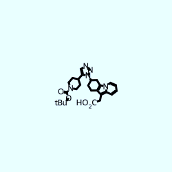 CC(C)(C)OC(=O)N1CCC(c2cnnn2C2CCc3c(CC(=O)O)c4ccccn4c3C2)CC1